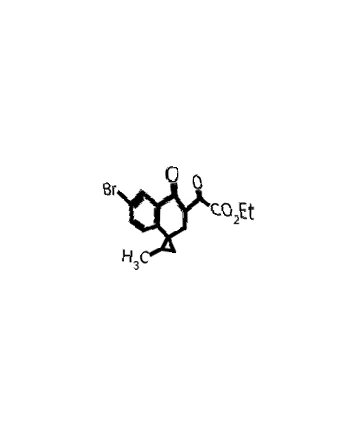 CCOC(=O)C(=O)C1CC2(CC2C)c2ccc(Br)cc2C1=O